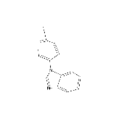 C=C(C)/C=C\C(=C/C)n1cnc2ccccc21